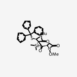 CON1C(=O)C[C@@H]1C(=O)[C@]1([SiH](C)C)C(=O)N(C(C)(C)C)[C@@H]1SC(c1ccccc1)(c1ccccc1)c1ccccc1